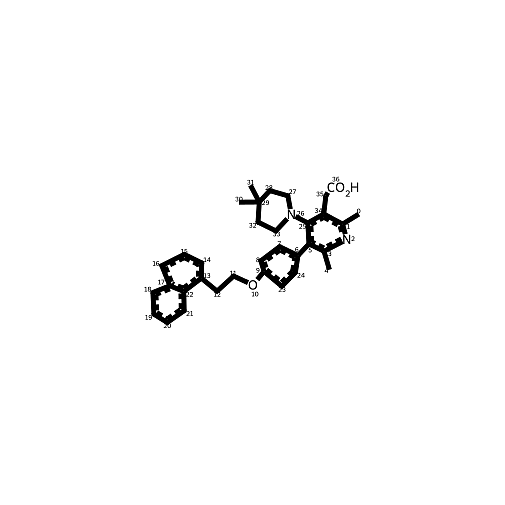 Cc1nc(C)c(-c2ccc(OCCc3cccc4ccccc34)cc2)c(N2CCC(C)(C)CC2)c1CC(=O)O